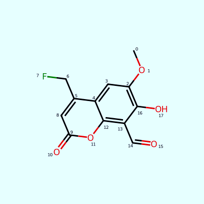 COc1cc2c(CF)cc(=O)oc2c(C=O)c1O